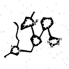 CCCCc1nc(C)cn1Cc1ccc(-c2ccccc2-c2nnn[nH]2)c(-c2cccc(C)[n+]2[O-])c1